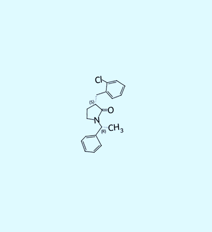 C[C@H](c1ccccc1)N1CC[C@H](Cc2ccccc2Cl)C1=O